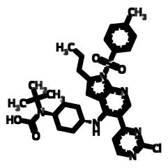 CCCc1cc2c(N[C@H]3CC[C@H](N(C(=O)O)C(C)(C)C)CC3)c(-c3ccnc(Cl)n3)cnc2n1S(=O)(=O)c1ccc(C)cc1